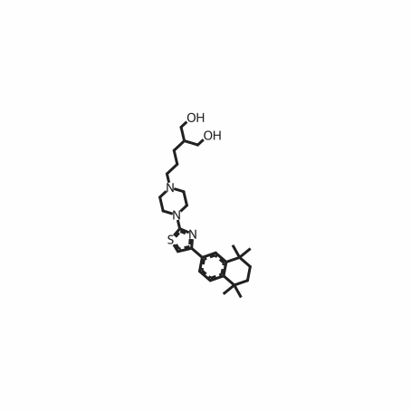 CC1(C)CCC(C)(C)c2cc(-c3csc(N4CCN(CCCC(CO)CO)CC4)n3)ccc21